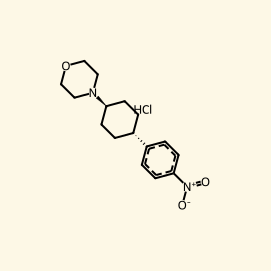 Cl.O=[N+]([O-])c1ccc([C@H]2CC[C@H](N3CCOCC3)CC2)cc1